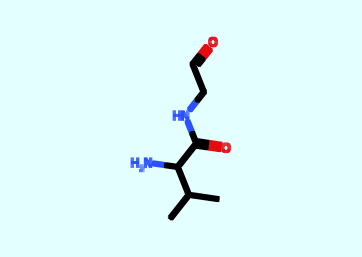 CC(C)C(N)C(=O)NCC=O